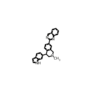 CN1Cc2cc(-c3ncc4ccccc4n3)ccc2C(c2ccc3cc[nH]c3c2)C1